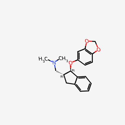 CN(C)C[C@H]1Cc2ccccc2[C@@H]1Oc1ccc2c(c1)OCO2